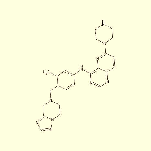 Cc1cc(Nc2ncnc3ccc(N4CCNCC4)nc23)ccc1CN1CCn2ncnc2C1